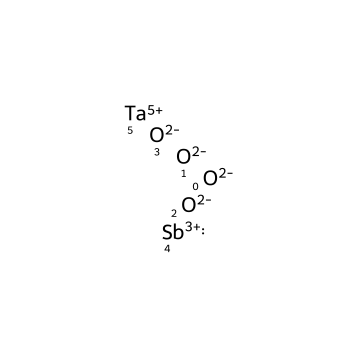 [O-2].[O-2].[O-2].[O-2].[Sb+3].[Ta+5]